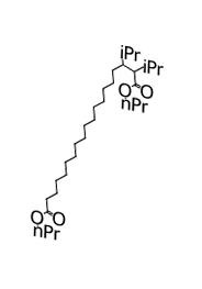 CCCOC(=O)CCCCCCCCCCCCCCCC(C(C)C)C(C(=O)OCCC)C(C)C